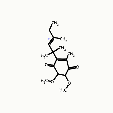 CC/C(C)=C/C(C)(C)C1=C(C)C(=O)C(OC)C(OC)C1=O